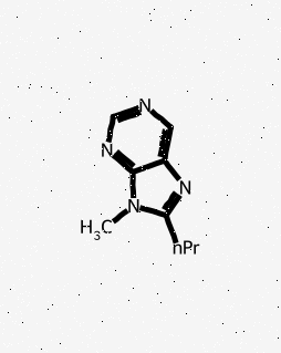 CCCc1nc2cncnc2n1C